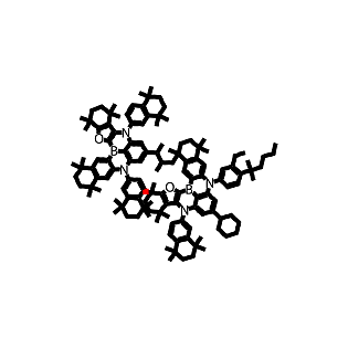 CCCCC(C)(C)c1ccc(N2c3cc4c(cc3B3c5oc6c(c5N(c5ccc7c(c5)C(C)(C)CCC7(C)C)c5cc(C7CCCCC7)cc2c53)C(C)(C)CCC6(C)C)C(C)(CC(C)C(C)c2cc3c5c(c2)N(c2ccc6c(c2)C(C)(C)CCC6(C)C)c2c(oc6c2C(C)(C)CCC6(C)C)B5c2cc5c(cc2N3c2ccc3c(c2)C(C)(C)CCC3(C)C)C(C)(C)CCC5(C)C)CCC4(C)C)cc1CC